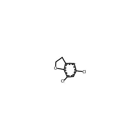 Clc1[c]c2c(c(Cl)c1)OCC2